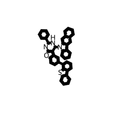 c1ccc(C2=Nc3oc4ccc(-c5cccc6c5sc5ccccc56)cc4c3C(n3c4ccccc4c4cc5ccccc5cc43)N2)cc1